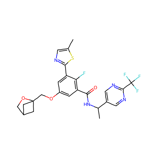 Cc1cnc(-c2cc(OCC34CC(CO3)C4)cc(C(=O)NC(C)c3cnc(C(F)(F)F)nc3)c2F)s1